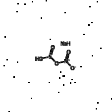 O=[N+]([O-])OS(=O)O.[NaH]